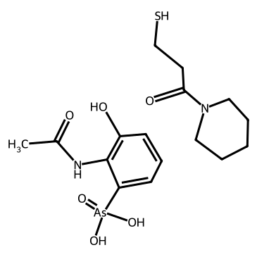 CC(=O)Nc1c(O)cccc1[As](=O)(O)O.O=C(CCS)N1CCCCC1